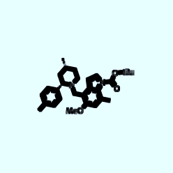 COc1cc(C)c2c(ccn2C(=O)OC(C)(C)C)c1CN1CC[C@@H](C)C[C@H]1c1ccc(C)cc1